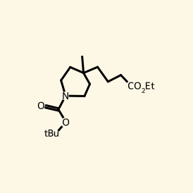 CCOC(=O)CCCC1(C)CCN(C(=O)OC(C)(C)C)CC1